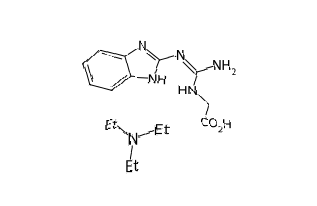 CCN(CC)CC.NC(=Nc1nc2ccccc2[nH]1)NCC(=O)O